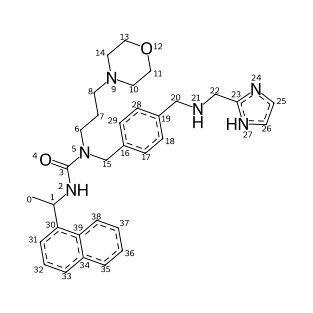 CC(NC(=O)N(CCCN1CCOCC1)Cc1ccc(CNCc2ncc[nH]2)cc1)c1cccc2ccccc12